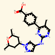 Cc1cnc(Nc2cnn(C3CC(C)OC(C)C3)c2)nc1-c1ccc(C(=O)O)cc1